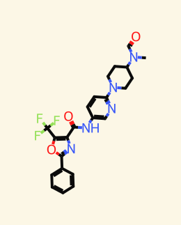 CN(C=O)C1CCN(c2ccc(NC(=O)c3nc(-c4ccccc4)oc3C(F)(F)F)cn2)CC1